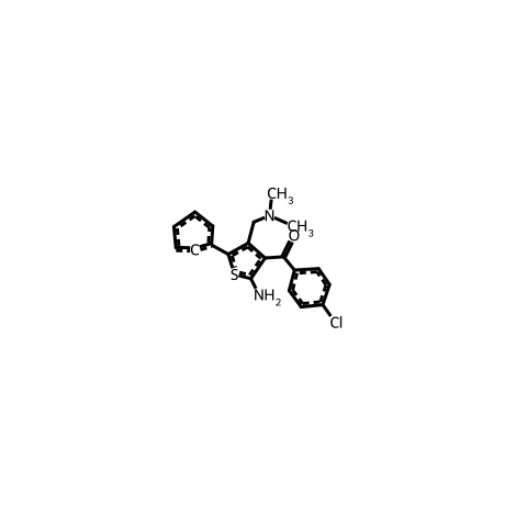 CN(C)Cc1c(-c2ccccc2)sc(N)c1C(=O)c1ccc(Cl)cc1